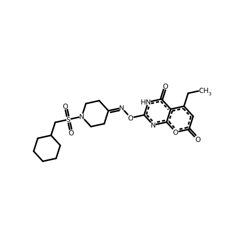 CCc1cc(=O)oc2nc(ON=C3CCN(S(=O)(=O)CC4CCCCC4)CC3)[nH]c(=O)c12